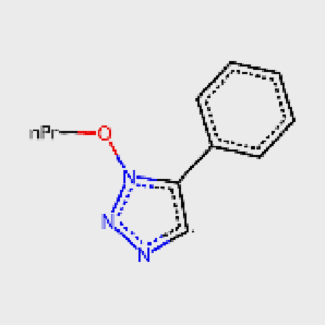 CCCOn1nn[c]c1-c1ccccc1